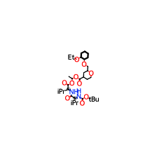 CCOc1ccccc1OCC1CC(C(=O)OC(C)OC(=O)[C@@H](NC(=O)[C@@H](NC(=O)OC(C)(C)C)C(C)C)C(C)C)CCO1